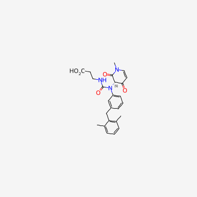 Cc1cccc(C)c1Cc1cccc(N(C(=O)NCCC(=O)O)[C@H]2C(=O)C=CN(C)C2=O)c1